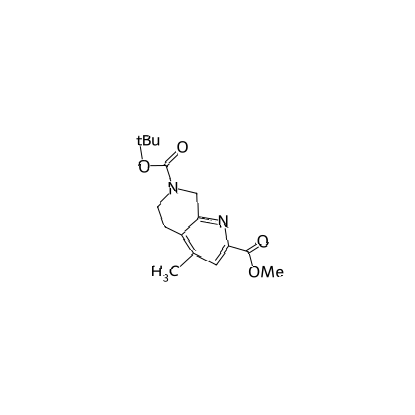 COC(=O)c1cc(C)c2c(n1)CN(C(=O)OC(C)(C)C)CC2